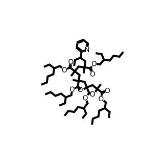 CCCCC(CC)COC(=O)C(C)(C)CC(C)(CC(C)(CC(C)(CC(C)(CC(CC)c1ccccn1)C(=O)OCC(CC)CCCC)C(=O)OCC(CC)CCCC)C(=O)OCC(CC)CCCC)C(=O)OCC(CC)CCCC